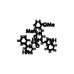 CNC(=O)N(Cc1ccccc1OC)CC(Cc1c[nH]c2ccccc12)NC(=O)CN1CCNCC1c1ccccc1